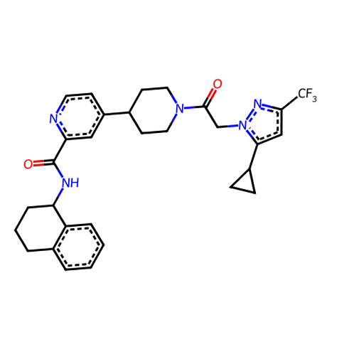 O=C(NC1CCCc2ccccc21)c1cc(C2CCN(C(=O)Cn3nc(C(F)(F)F)cc3C3CC3)CC2)ccn1